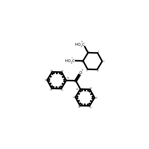 O=C(O)C1CCCCC1C(=O)O.O=C(c1ccccc1)c1ccccc1